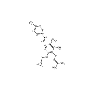 CC(C)=CCc1c(OCC2CC2)cc(C=Cc2ccc(C(F)(F)F)cc2)c(C(=O)O)c1O